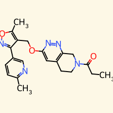 CCC(=O)N1CCc2cc(OCc3c(-c4ccc(C)nc4)noc3C)nnc2C1